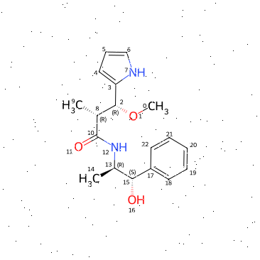 CO[C@@H](c1ccc[nH]1)[C@@H](C)C(=O)N[C@H](C)[C@@H](O)c1ccccc1